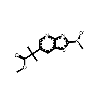 COC(=O)C(C)(C)c1cnc2nc([S+](C)[O-])sc2c1